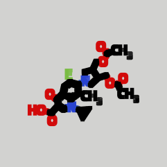 CC(=O)OCC1CN(c2c(F)cc3c(=O)c(C(=O)O)cn(C4CC4)c3c2C)CC1COC(C)=O